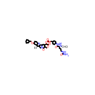 CCc1c2c(nc3ccc(OCc4ccccc4)cc13)-c1cc3c(c(=O)n1C2)COC(=O)C3OC(=O)OCc1ccc(NC(=O)C(CCCNC(N)=O)NC=O)cc1